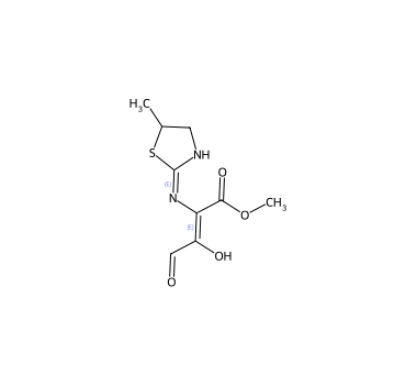 COC(=O)C(/N=C1\NCC(C)S1)=C(\O)C=O